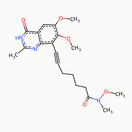 COc1cc2c(=O)[nH]c(C)nc2c(C#CCCCCC(=O)N(C)OC)c1OC